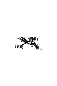 CC1(CCCCCC(=O)O)/C(=C/C=C/C=C/c2sc3cc(SOOO)ccc3[n+]2CCCS(=O)(=O)O)N(CCCS(=O)(=O)O)c2ccc(S(=O)(=O)O)cc21